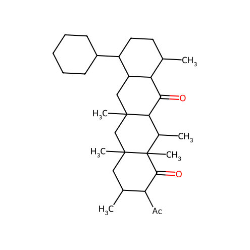 CC(=O)C1C(=O)C2(C)C(C)C3C(=O)C4C(C)CCC(C5CCCCC5)C4CC3(C)CC2(C)CC1C